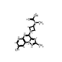 Cc1nc2c(N3CC(N(C)C(=O)O)C3)nc3ncc(Cl)cc3n2n1